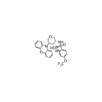 CCCN=S(=O)(N[C@H]1COC[C@H](N2c3ccccc3Oc3ccccc32)[C@H]1O)c1ccc(OC(F)(F)F)cc1